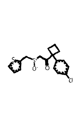 O=C(C[S+]([O-])Cc1cccs1)C1(c2ccc(Cl)cc2)CCC1